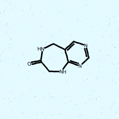 O=C1CNc2ncncc2CN1